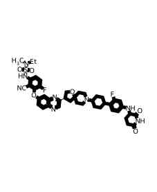 CCN(C)S(=O)(=O)Nc1ccc(F)c(Oc2ccc3ncc([C@@H]4COC5(CCN(C6CCC(c7ccc(NC8CCC(=O)NC8=O)cc7F)CC6)CC5)C4)nc3c2)c1C#N